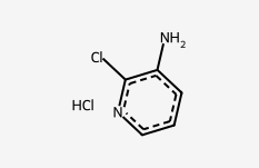 Cl.Nc1cccnc1Cl